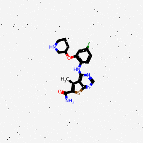 Cc1c(C(N)=O)sc2ncnc(Nc3ccc(F)cc3OC3CCCNC3)c12